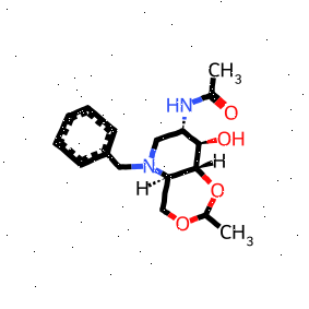 CC(=O)N[C@H]1CN(Cc2ccccc2)[C@@H]2COC(C)O[C@H]2[C@@H]1O